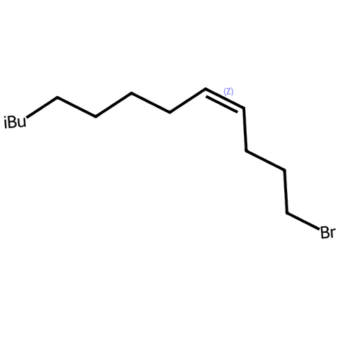 CCC(C)CCCC/C=C\CCCBr